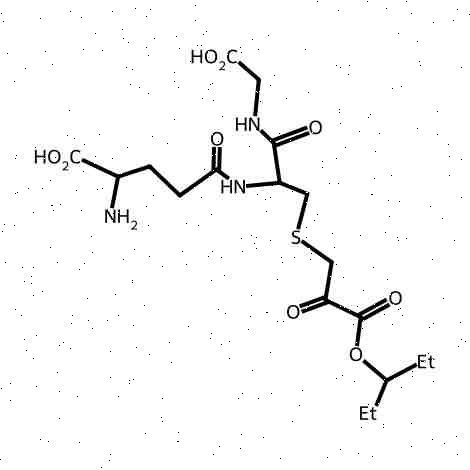 CCC(CC)OC(=O)C(=O)CSCC(NC(=O)CCC(N)C(=O)O)C(=O)NCC(=O)O